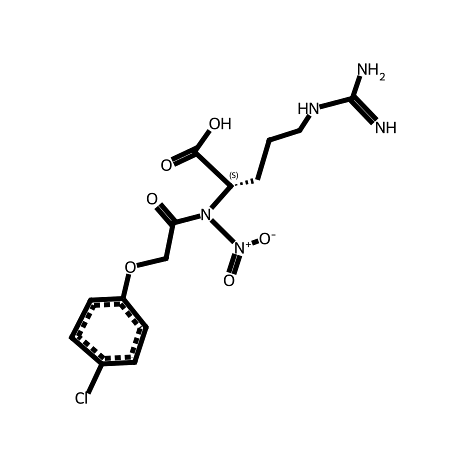 N=C(N)NCCC[C@@H](C(=O)O)N(C(=O)COc1ccc(Cl)cc1)[N+](=O)[O-]